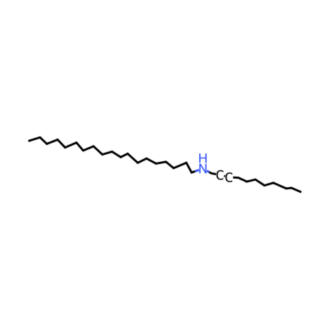 CCCCCCCCCCCCCCCCCCCNCCCCCCCCCCC